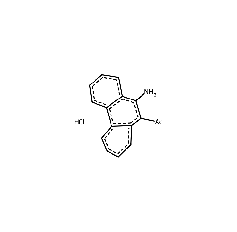 CC(=O)c1c(N)c2ccccc2c2ccccc12.Cl